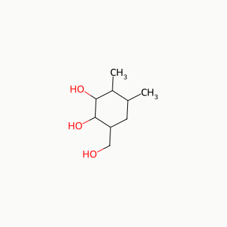 CC1CC(CO)C(O)C(O)C1C